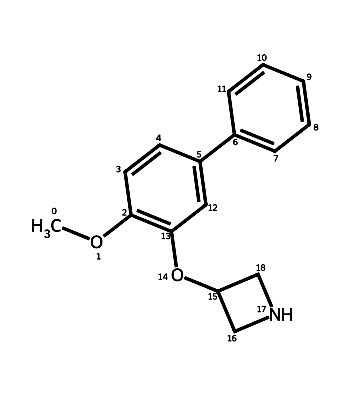 COc1ccc(-c2ccccc2)cc1OC1CNC1